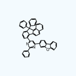 c1ccc(-c2nc(-c3ccc4c(c3)oc3ccccc34)cc(-c3cccc4c3-c3ccc5ccccc5c3C4(c3ccccc3)c3ccccc3)n2)cc1